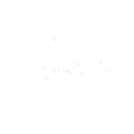 Fc1ccc(CN2CN=C(SCc3cc(Cl)c(Cl)cc3CSC3=NCN(Cc4ccc(F)c(Cl)c4)CN3)NC2)cc1Cl